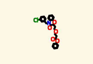 O=C(CCOCCC1Oc2ccccc2N(Cc2cccc(Cl)c2)C1=O)Oc1ccccc1